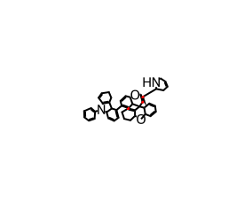 C1=CC2OC3CCCC=C3C3(C2C=C1)C1C=CC(C2CC=CCN2)=CC1OC1C=CC(C2=CC=CC4C2C2=C(C=CCC2)N4c2ccccc2)=CC13